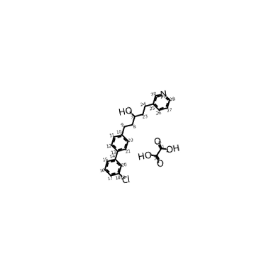 O=C(O)C(=O)O.OC(CCc1ccc(-c2cccc(Cl)c2)cc1)CCc1cccnc1